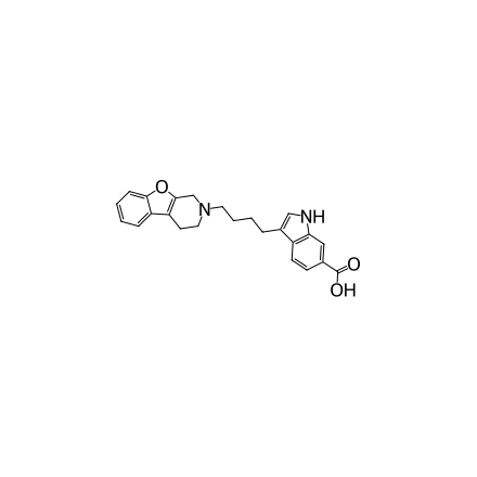 O=C(O)c1ccc2c(CCCCN3CCc4c(oc5ccccc45)C3)c[nH]c2c1